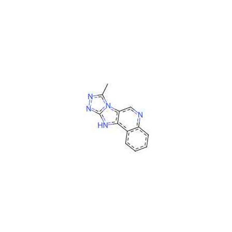 Cc1nnc2[nH]c3c4ccccc4ncc3n12